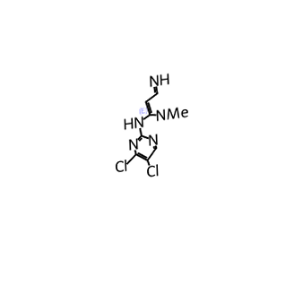 CN/C(=C\C=N)Nc1ncc(Cl)c(Cl)n1